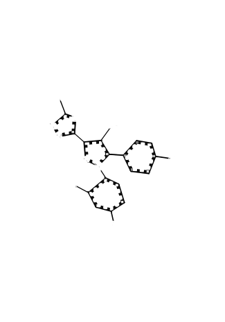 CC(C)c1c(-c2nnc(C(C)(C)C)o2)nn(-c2ccc(Cl)cc2Cl)c1-c1ccc(Cl)cc1